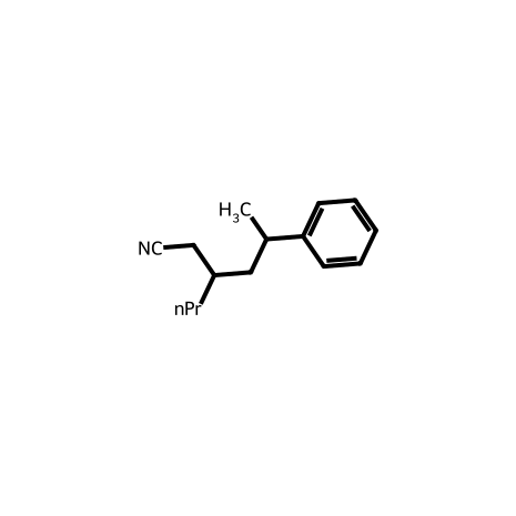 CCCC(CC#N)CC(C)c1ccccc1